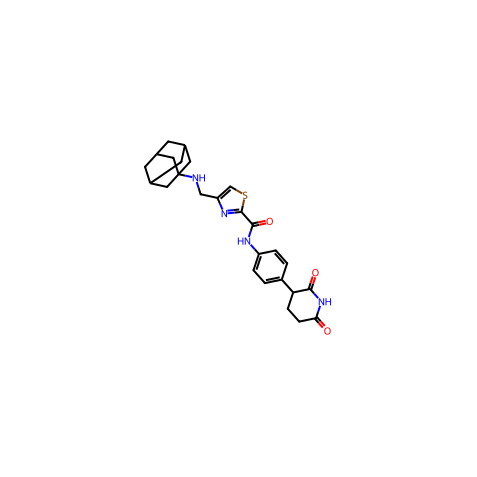 O=C1CCC(c2ccc(NC(=O)c3nc(CNC45CC6CC(CC(C6)C4)C5)cs3)cc2)C(=O)N1